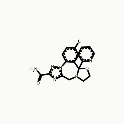 NC(=O)c1nc2n(n1)-c1ccc(Cl)cc1C1(c3ccccn3)OCCN1C2